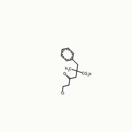 CC(CC(=O)CCCl)(Cc1ccccc1)C(=O)O